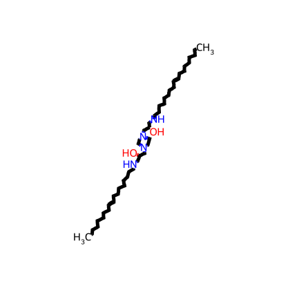 CCCCCCCCC=CCCCCCCCCNCC(O)CN1CCN(CC(O)CNCCCCCCCCC=CCCCCCCCC)CC1